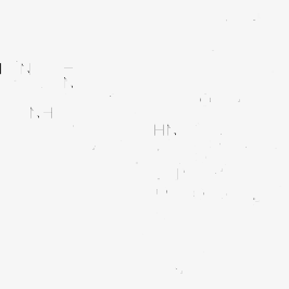 N=C(N)Nc1ccc(CC(NC(=O)OCc2ccccc2)P(=O)(Oc2ccccc2)Oc2ccccc2)cc1